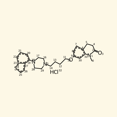 CN1C(=O)CCc2ccc(OCCCCN3CCN(c4cccc5sccc45)CC3)cc21.Cl